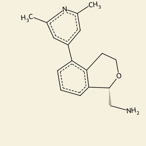 Cc1cc(-c2cccc3c2CCO[C@@H]3CN)cc(C)n1